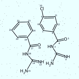 N=C(N)NC(=O)c1ccc(Cl)cc1.N=C(N)NC(=O)c1ccccc1